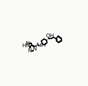 OC(CCc1ccccc1)[C@H]1CC[C@@H](C[AsH]c2ncnc3[nH]ncc23)CC1